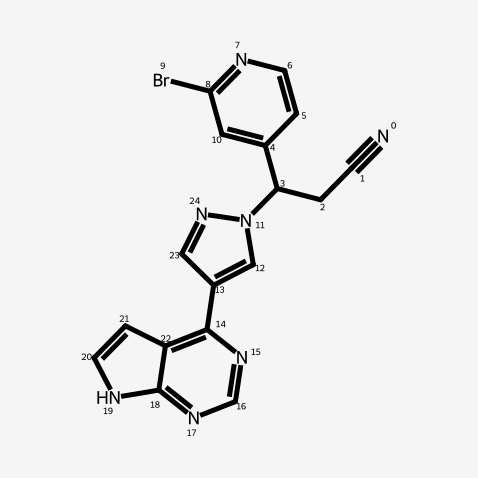 N#CCC(c1ccnc(Br)c1)n1cc(-c2ncnc3[nH]ccc23)cn1